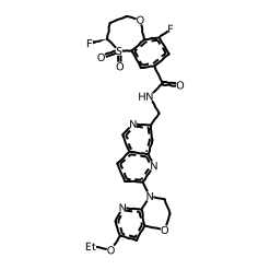 CCOc1cnc2c(c1)OCCN2c1ccc2cnc(CNC(=O)c3cc(F)c4c(c3)S(=O)(=O)[C@@H](F)CCO4)cc2n1